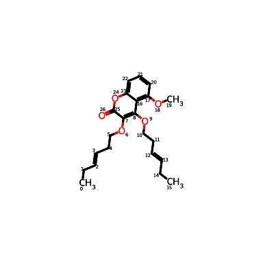 CCC=CCCOc1c(OCCC=CCC)c2c(OC)cccc2oc1=O